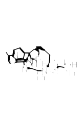 Cc1coc(-c2nc3oc2C24c5ccccc5N[C@H]2Oc2ccc(cc24)C[C@H](NC(=O)[C@@H](O)C(C)C)C(=O)N[C@H]3C(C)C)n1